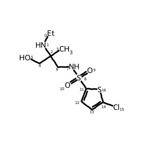 CCNC(C)(CO)CNS(=O)(=O)c1ccc(Cl)s1